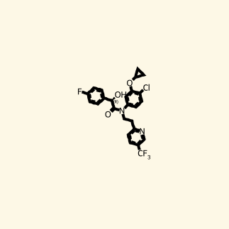 O=C([C@H](O)c1ccc(F)cc1)N(CCc1ccc(C(F)(F)F)cn1)c1ccc(Cl)c(OC2CC2)c1